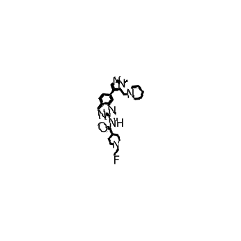 Cn1ncc(-c2ccc3cnc(NC(=O)C4CCN(CCF)CC4)nc3c2)c1CN1CCCCC1